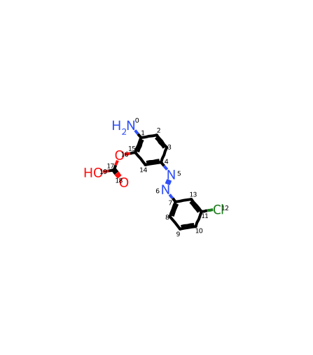 Nc1ccc(N=Nc2cccc(Cl)c2)cc1OC(=O)O